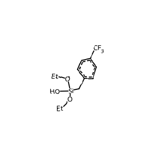 CCO[Si](O)(Cc1ccc(C(F)(F)F)cc1)OCC